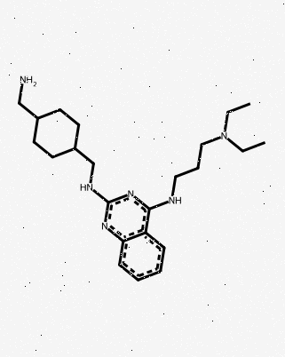 CCN(CC)CCCNc1nc(NCC2CCC(CN)CC2)nc2ccccc12